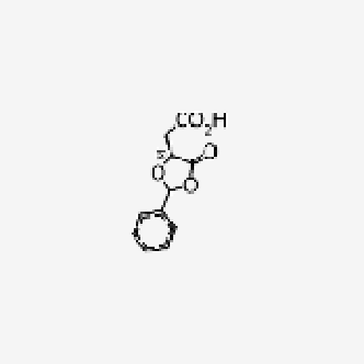 O=C(O)C[C@@H]1OC(c2ccccc2)OC1=O